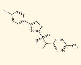 CN=S(=O)(c1nc(-c2ccc(F)cc2)cs1)C(C)c1ccc(C(F)(F)F)nc1